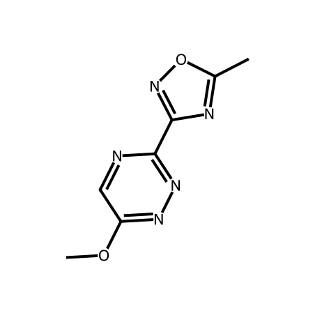 COc1cnc(-c2noc(C)n2)nn1